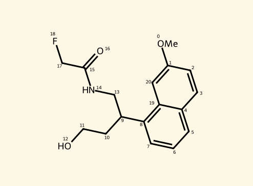 COc1ccc2cccc(C(CCO)CNC(=O)CF)c2c1